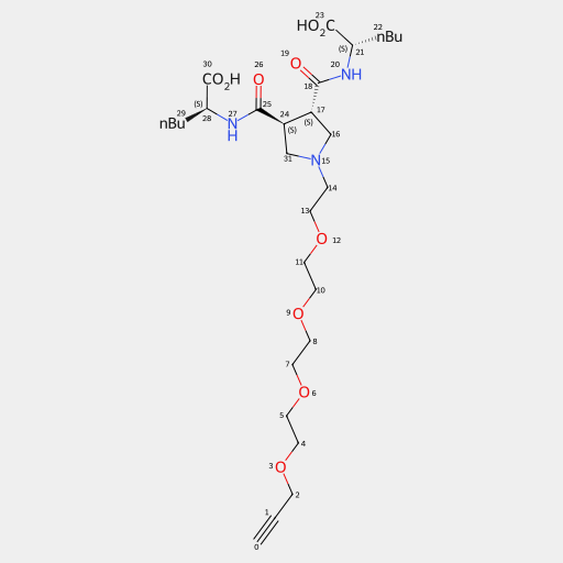 C#CCOCCOCCOCCOCCN1C[C@@H](C(=O)N[C@@H](CCCC)C(=O)O)[C@H](C(=O)N[C@@H](CCCC)C(=O)O)C1